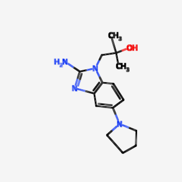 CC(C)(O)Cn1c(N)nc2cc(N3CCCC3)ccc21